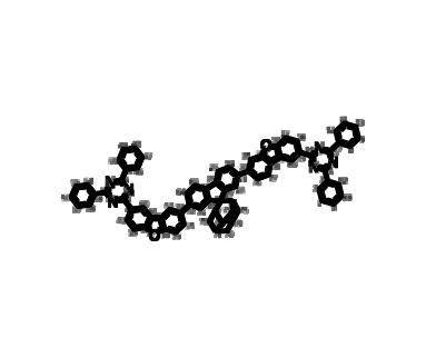 c1ccc(-c2nc(-c3ccccc3)nc(-c3ccc4oc5cc(-c6ccc7c(c6)C6(c8cc(-c9ccc%10oc%11ccc(-c%12nc(-c%13ccccc%13)nc(-c%13ccccc%13)n%12)cc%11c%10c9)ccc8-7)C7CC8CC(C7)CC6C8)ccc5c4c3)n2)cc1